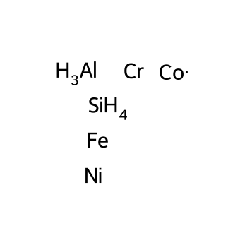 [AlH3].[Co].[Cr].[Fe].[Ni].[SiH4]